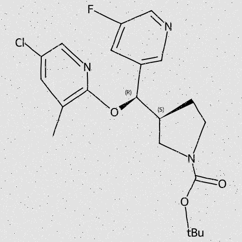 Cc1cc(Cl)cnc1O[C@@H](c1cncc(F)c1)[C@H]1CCN(C(=O)OC(C)(C)C)C1